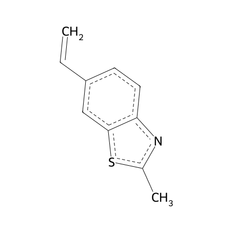 C=Cc1ccc2nc(C)sc2c1